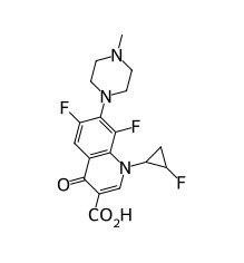 CN1CCN(c2c(F)cc3c(=O)c(C(=O)O)cn(C4CC4F)c3c2F)CC1